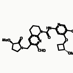 CO[C@@H]1CCN(Cc2cc3c(nc2C=O)N(C(=O)Nc2cc(O[C@@H]4CC[C@H]4OC)c(C#N)cn2)CCC3)C1=O